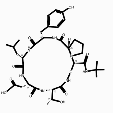 CC(C)C[C@@H]1NC(=O)[C@H](Cc2ccc(O)cc2)NC(=O)[C@@H]2CCCN2[C@@H](C(=O)NC(C)(C)C)CNC(=O)[C@H]([C@@H](C)O)NC(=O)[C@H](CC(=O)O)NC1=O